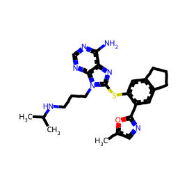 Cc1cnc(-c2cc3c(cc2Sc2nc4c(N)ncnc4n2CCCNC(C)C)CCC3)o1